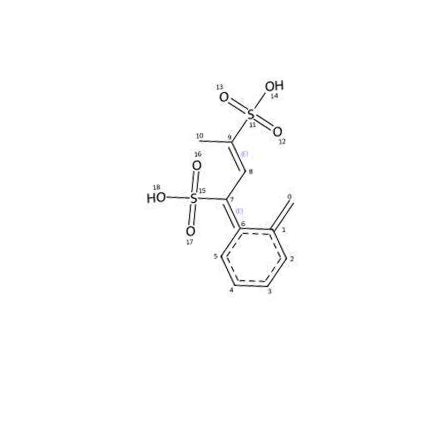 C=c1cccc/c1=C(/C=C(\C)S(=O)(=O)O)S(=O)(=O)O